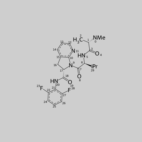 CN[C@@H](C)C(=O)N[C@H](C(=O)N1c2ncccc2C[C@H]1C(=O)Nc1c(F)cccc1F)C(C)C